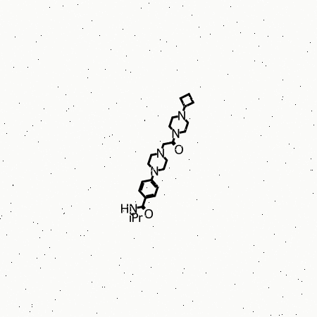 CC(C)NC(=O)c1ccc(N2CCN(CC(=O)N3CCN(C4CCC4)CC3)CC2)cc1